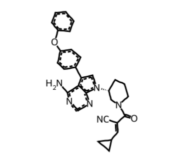 N#C/C(=C\C1CC1)C(=O)N1CCC[C@@H](n2cc(-c3ccc(Oc4ccccc4)cc3)c3c(N)ncnc32)C1